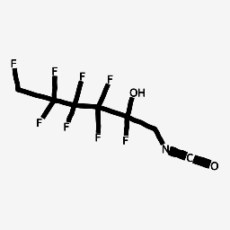 O=C=NCC(O)(F)C(F)(F)C(F)(F)C(F)(F)CF